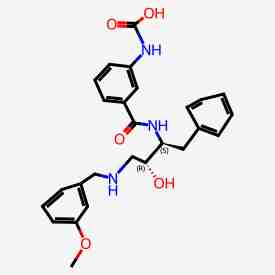 COc1cccc(CNC[C@@H](O)[C@H](Cc2ccccc2)NC(=O)c2cccc(NC(=O)O)c2)c1